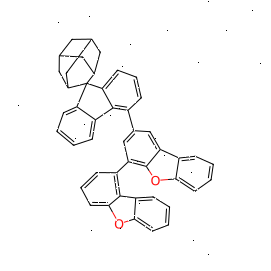 c1ccc2c(c1)-c1c(-c3cc(-c4cccc5oc6ccccc6c45)c4oc5ccccc5c4c3)cccc1C21C2CC3CC(C2)CC1C3